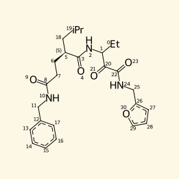 CCC(NC(=O)[C@@H](CCC(=O)NCc1ccccc1)CC(C)C)C(=O)C(=O)NCc1ccco1